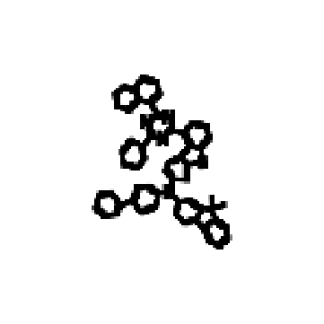 CC1(C)c2ccccc2-c2ccc(N(c3ccc(-c4ccccc4)cc3)c3ccc4c(c3)sc3cccc(-c5nc(-c6ccccc6)nc(-c6cccc7ccccc67)n5)c34)cc21